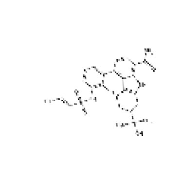 CC=CS(=O)(=O)Nc1cccc(-c2ccc(C(N)=O)c3[nH]c4c(c23)CCC(C(C)(C)O)C4)c1C